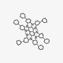 c1ccc(-c2ccc3c(c2)B2c4cc(-c5ccccc5)ccc4N4c5ccc(-c6ccccc6)cc5B5CN6c7ccc(-c8ccccc8)cc7B7c8cc(-c9ccccc9)ccc8N8c9ccc(-c%10ccccc%10)cc9B9CN3c3c2c4c5c2c6c7c8c9c32)cc1